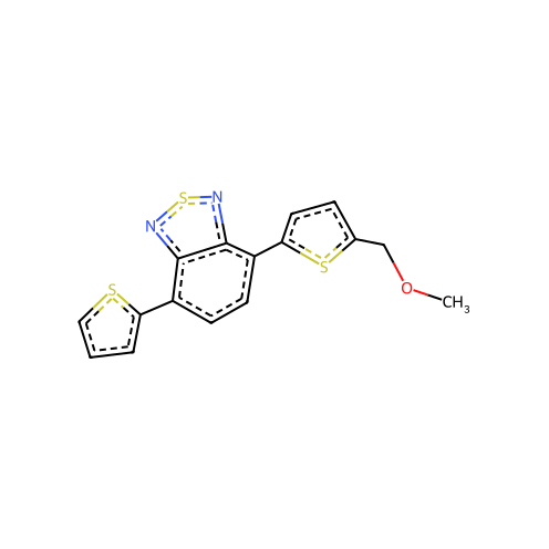 COCc1ccc(-c2ccc(-c3cccs3)c3nsnc23)s1